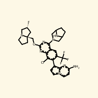 Nc1ccn2ccc(-c3c(C(F)(F)F)cc4c(N5CC6CCC(C5)N6)nc(OC[C@@]56CCCN5C[C@H](F)C6)nc4c3Cl)c2n1